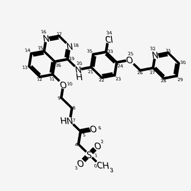 CS(=O)(=O)CC(=O)NCCOc1cccc2ncnc(Nc3ccc(OCc4ccccn4)c(Cl)c3)c12